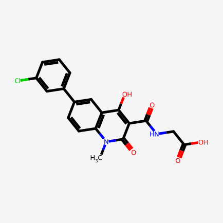 Cn1c(=O)c(C(=O)NCC(=O)O)c(O)c2cc(-c3cccc(Cl)c3)ccc21